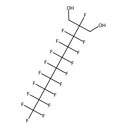 OCC(F)(CO)C(F)(F)C(F)(F)C(F)(F)C(F)(F)C(F)(F)C(F)(F)C(F)(F)C(F)(F)F